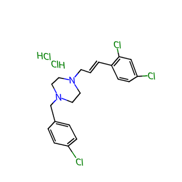 Cl.Cl.Clc1ccc(CN2CCN(C/C=C/c3ccc(Cl)cc3Cl)CC2)cc1